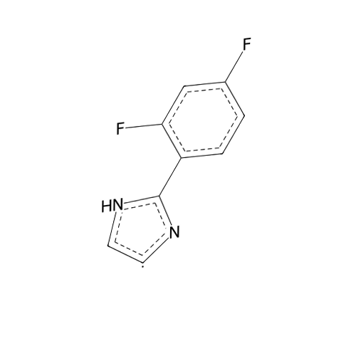 Fc1ccc(-c2n[c]c[nH]2)c(F)c1